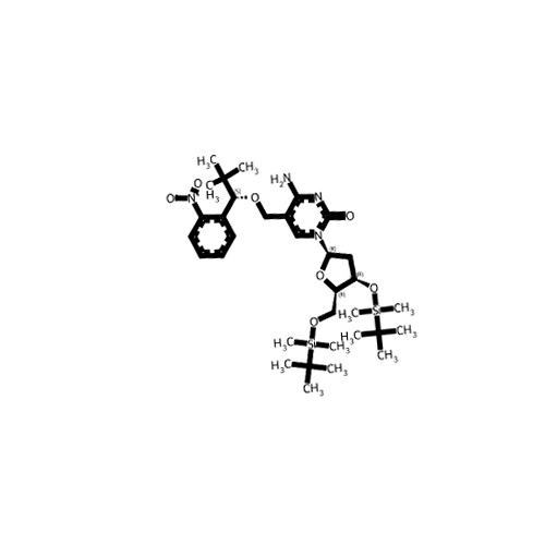 CC(C)(C)[C@H](OCc1cn([C@H]2C[C@@H](O[Si](C)(C)C(C)(C)C)[C@@H](CO[Si](C)(C)C(C)(C)C)O2)c(=O)nc1N)c1ccccc1[N+](=O)[O-]